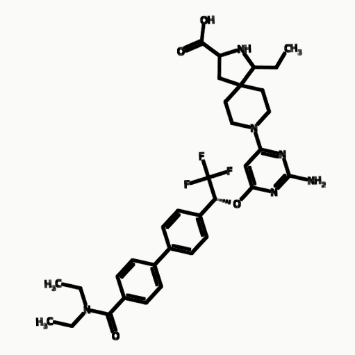 CCC1NC(C(=O)O)CC12CCN(c1cc(O[C@H](c3ccc(-c4ccc(C(=O)N(CC)CC)cc4)cc3)C(F)(F)F)nc(N)n1)CC2